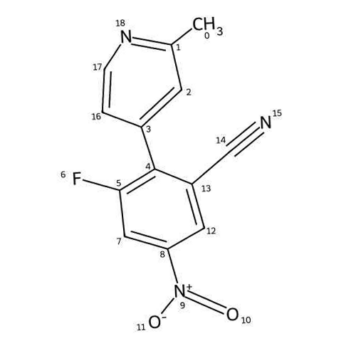 Cc1cc(-c2c(F)cc([N+](=O)[O-])cc2C#N)ccn1